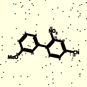 COc1cccc(-c2ccc(C#N)cc2[N+](=O)[O-])c1